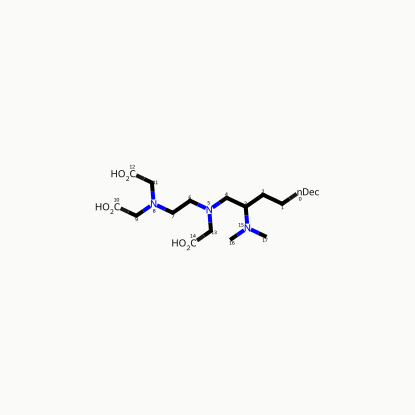 CCCCCCCCCCCCC(CN(CCN(CC(=O)O)CC(=O)O)CC(=O)O)N(C)C